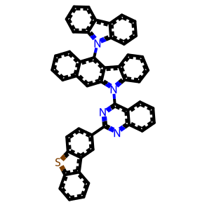 c1ccc2c(-n3c4ccccc4c4ccccc43)c3c4ccccc4n(-c4nc(-c5ccc6sc7ccccc7c6c5)nc5ccccc45)c3cc2c1